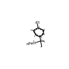 [CH2]Cc1ccc(C(C)(C)CCCCC)cc1